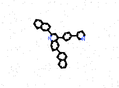 c1cncc(-c2ccc(-c3cc(-c4ccc5ccccc5c4)nc4ccc(-c5ccc6ccccc6c5)cc34)cc2)c1